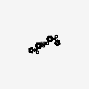 O=C(c1cccc(OBOc2cccc(C(=O)N3CCCC3)c2)c1)N1CCCC1